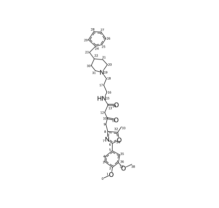 COc1ccc(-c2nc(CC(=O)CC(=O)NCCCN3CCC(Cc4ccccc4)CC3)c(C)o2)cc1OC